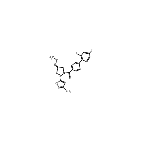 CON=C1C[C@@H](c2nc(C)no2)N(C(=O)c2ccc(-c3ccc(F)cc3F)cc2)C1